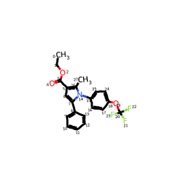 CCOC(=O)c1cc(-c2ccccc2)n(-c2ccc(OC(F)(F)F)cc2)c1C